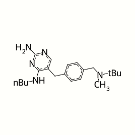 CCCCNc1nc(N)ncc1Cc1ccc(CN(C)C(C)(C)C)cc1